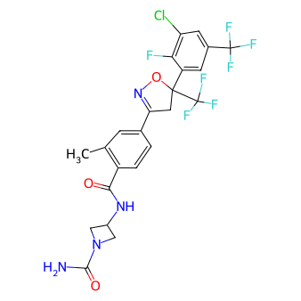 Cc1cc(C2=NOC(c3cc(C(F)(F)F)cc(Cl)c3F)(C(F)(F)F)C2)ccc1C(=O)NC1CN(C(N)=O)C1